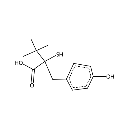 CC(C)(C)C(S)(Cc1ccc(O)cc1)C(=O)O